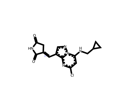 O=C1C/C(=C\c2cnn3c(NCC4CC4)cc(Cl)nc23)C(=O)N1